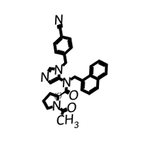 CC(=O)N1CCC[C@H]1C(=O)N(Cc1cccc2ccccc12)c1cncn1Cc1ccc(C#N)cc1